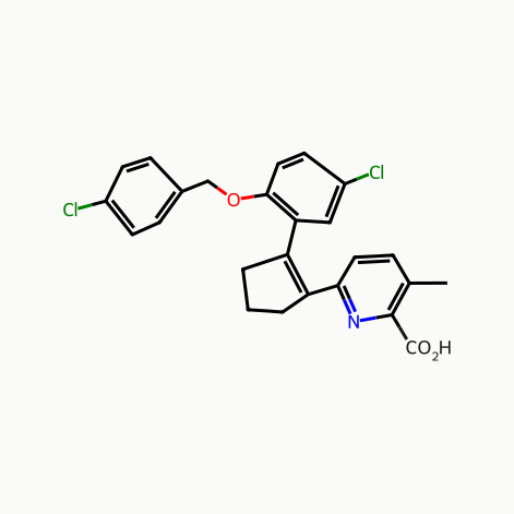 Cc1ccc(C2=C(c3cc(Cl)ccc3OCc3ccc(Cl)cc3)CCC2)nc1C(=O)O